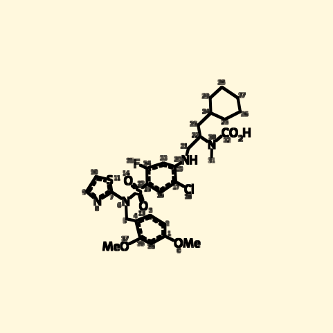 COc1ccc(CN(c2nccs2)S(=O)(=O)c2cc(Cl)c(NCC(CC3CCCCC3)N(C)C(=O)O)cc2F)c(OC)c1